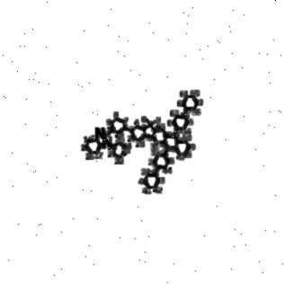 CC1(C)c2cc(-c3cccc(-c4nc5ccccc5n4-c4ccccc4)c3)ccc2-c2cc3c(-c4ccc(-c5ccccc5)cc4)c4ccccc4c(-c4ccc(-c5ccccc5)cc4)c3cc21